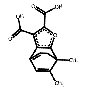 CC1=CC2=CCC1(C)c1oc(C(=O)O)c(C(=O)O)c12